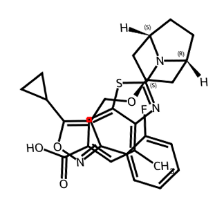 Cc1cc(C(=O)O)cc2sc(N3[C@@H]4CC[C@H]3C[C@H](OCc3c(-c5ccccc5F)noc3C3CC3)C4)nc12